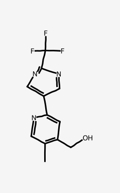 Cc1cnc(-c2cnc(C(F)(F)F)nc2)cc1CO